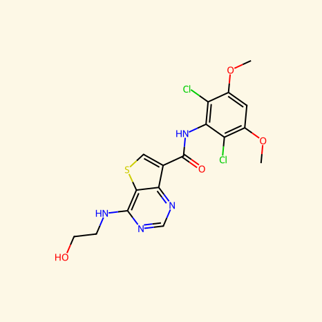 COc1cc(OC)c(Cl)c(NC(=O)c2csc3c(NCCO)ncnc23)c1Cl